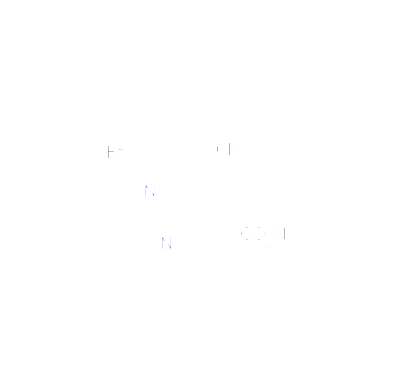 CCn1cnc(C(=O)O)c1C